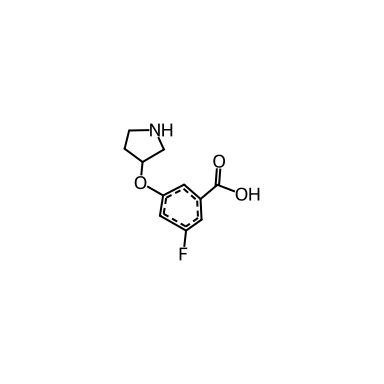 O=C(O)c1cc(F)cc(OC2CCNC2)c1